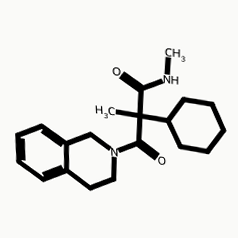 CNC(=O)C(C)(C(=O)N1CCc2ccccc2C1)C1CCCCC1